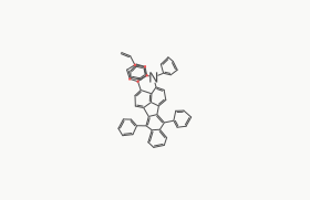 C=Cc1ccc(-c2ccc3c4c(ccc(N(c5ccccc5)c5ccccc5)c24)-c2c-3c(-c3ccccc3)c3ccccc3c2-c2ccccc2)cc1